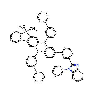 CC1(C)c2ccccc2-c2cc3c(-c4cccc(-c5ccccc5)c4)c4ccc(-c5cccc(-c6nc7ccccc7n6-c6ccccc6)c5)cc4c(-c4cccc(-c5ccccc5)c4)c3cc21